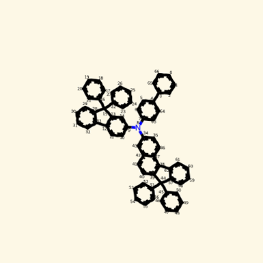 c1ccc(-c2ccc(N(c3ccc4c(c3)C(c3ccccc3)(c3ccccc3)c3ccccc3-4)c3ccc4c5c(ccc4c3)C(c3ccccc3)(c3ccccc3)c3ccccc3-5)cc2)cc1